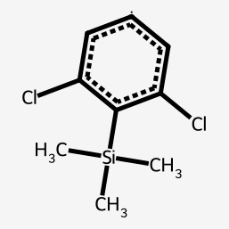 C[Si](C)(C)c1c(Cl)c[c]cc1Cl